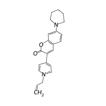 C=CC[n+]1ccc(-c2cc3ccc(N4CCCCC4)cc3oc2=O)cc1